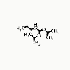 CCC[SiH2]C(OC(C)C)OC(C)C